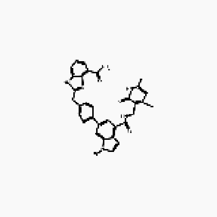 CCn1ccc2c(C(=O)NCc3c(C)cc(C)[nH]c3=O)cc(-c3ccc(Cc4nc5c(C(N)=O)cccc5[nH]4)cc3)cc21